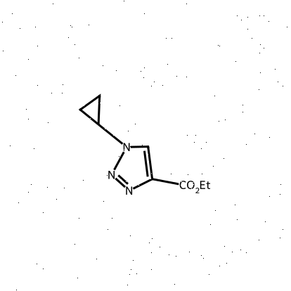 CCOC(=O)c1cn(C2CC2)nn1